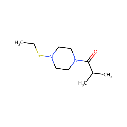 CCSN1CCN(C(=O)C(C)C)CC1